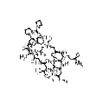 CC(=O)C[C@H](NC(=O)[C@H](CCC(N)=O)NC(=O)CNC(=O)[C@@H]1C[C@@H](O)CN1)C(=O)N[C@H](C(=O)N[C@@H](CC(C)C)C(=O)N[C@@H](C)C(=O)NCC(=O)N1CCC[C@H]1C(=O)N1CCC1)C(C)C